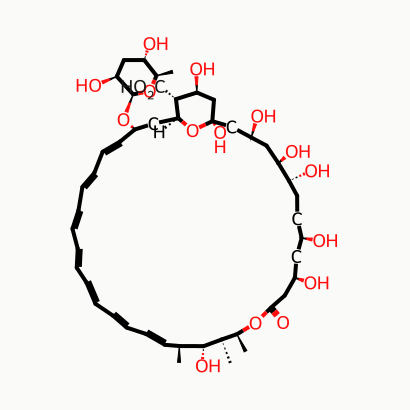 C[C@@H]1[C@H](O)[C@@H](C)/C=C/C=C/C=C/C=C/C=C/C=C/C=C/[C@H](O[C@@H]2O[C@H](C)[C@@H](O)C[C@@H]2O)C[C@@H]2O[C@](O)(C[C@@H](O)C[C@@H](O)[C@H](O)CC[C@@H](O)C[C@@H](O)CC(=O)O[C@H]1C)C[C@H](O)[C@H]2C(=O)O